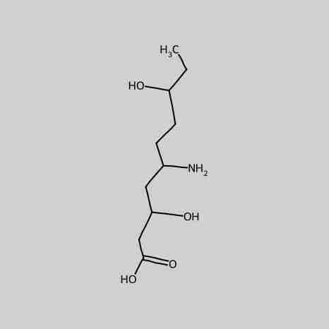 CCC(O)CCC(N)CC(O)CC(=O)O